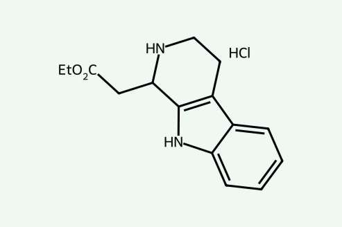 CCOC(=O)CC1NCCc2c1[nH]c1ccccc21.Cl